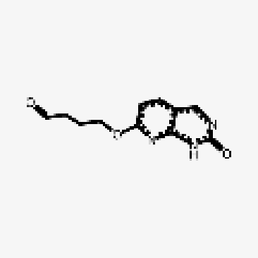 O=CCCCOc1ccc2cnc(=O)[nH]c2n1